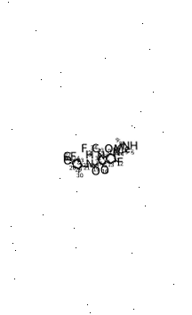 COc1c(N2C[C@@H](C)N[C@@H](C)C2)c(F)cc2c(=O)c(C(=O)NCc3ccc(OC(F)(F)F)cc3C)cn(CC(F)(F)F)c12